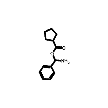 NC(OC(=O)C1CCCC1)c1ccccc1